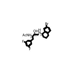 CC(=O)N[C@@H](Cc1cc(F)cc(F)c1)[C@H](O)CN[C@H]1CCCc2ccc(Br)cc21